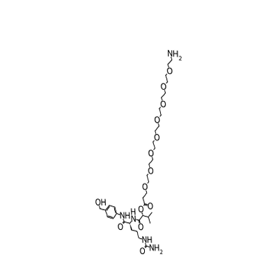 CC(C)[C@H](OC(=O)CCOCCOCCOCCOCCOCCOCCOCCOCCN)C(=O)N[C@@H](CCCNC(N)=O)C(=O)Nc1ccc(CO)cc1